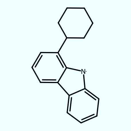 c1ccc2c(c1)[N]c1c-2cccc1C1CCCCC1